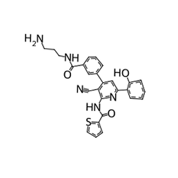 N#Cc1c(-c2cccc(C(=O)NCCCN)c2)cc(-c2ccccc2O)nc1NC(=O)c1cccs1